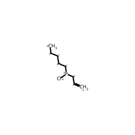 C=CCP(Cl)CCCCC